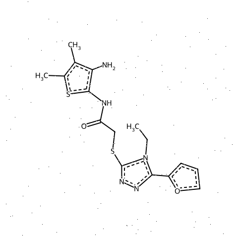 CCn1c(SCC(=O)Nc2sc(C)c(C)c2N)nnc1-c1ccco1